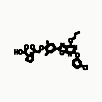 CCCOc1nc(Oc2cccc(Cl)c2)nc2oc(-c3cc(C)c(OCC(=O)N4CCCC4C(=O)O)c(C)c3)nc12